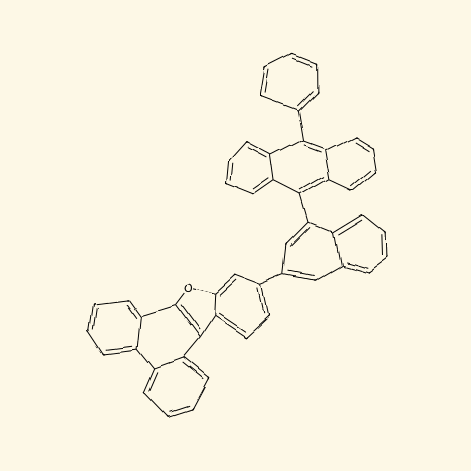 c1ccc(-c2c3ccccc3c(-c3cc(-c4ccc5c(c4)oc4c6ccccc6c6ccccc6c54)cc4ccccc34)c3ccccc23)cc1